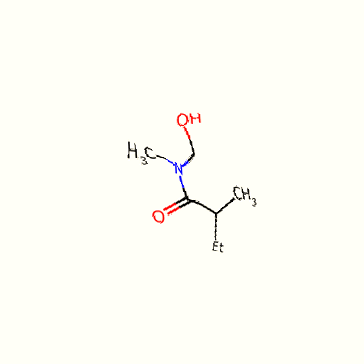 CCC(C)C(=O)N(C)CO